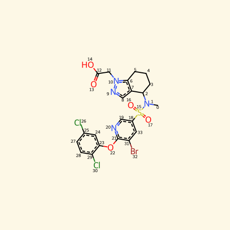 CN(C1CCCc2c1cnn2CC(=O)O)S(=O)(=O)c1cnc(Oc2cc(Cl)ccc2Cl)c(Br)c1